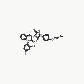 COCCOc1ccc([C@H]2NC(=O)N([C@H](C(=O)Nc3ccc(I)cc3Cl)[C@@H](C)c3ccccc3)C2=O)cc1